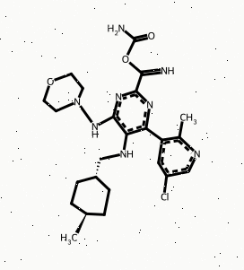 Cc1ncc(Cl)cc1-c1nc(C(=N)OC(N)=O)nc(NN2CCOCC2)c1NC[C@H]1CC[C@H](C)CC1